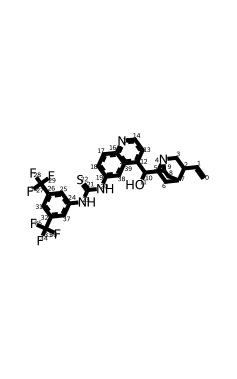 C=CC1CN2CCC1CC2C(O)c1ccnc2ccc(NC(=S)Nc3cc(C(F)(F)F)cc(C(F)(F)F)c3)cc12